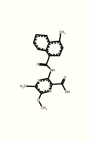 COc1nc(C(=O)O)c(NC(=O)c2ccc(C)c3ccccc23)nc1C